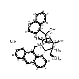 C=C[C@H]1C[N@+]2(Cc3c4ccccc4cc4ccccc34)CC[C@H]1C[C@H]2C(O)c1ccnc2ccccc12.[Cl-]